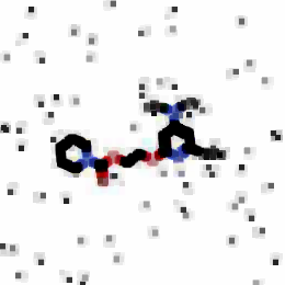 CCCN(CCC)c1cc(NC)nc(OCCOC(=O)N2CCCCC2)c1